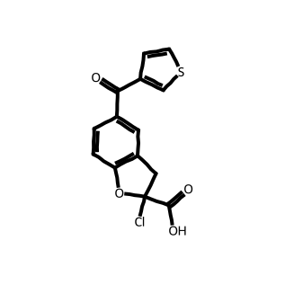 O=C(c1ccsc1)c1ccc2c(c1)CC(Cl)(C(=O)O)O2